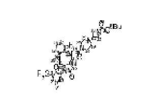 Cc1cc(C(F)(F)F)cc(N2C(=O)C[C@@H]3CN(CC(=O)N4CCN(C5CN(C(=O)OC(C)(C)C)C5)CC4)c4c(F)cccc4N(C)C(=O)[C@H]32)n1